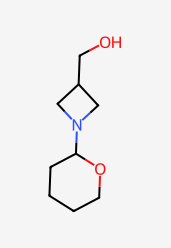 OCC1CN(C2CCCCO2)C1